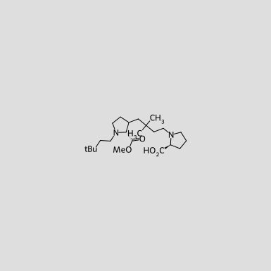 COC(=O)[C@H]1C(CC(C)(C)CCN2CCC[C@H]2C(=O)O)CCN1CCC(C)(C)C